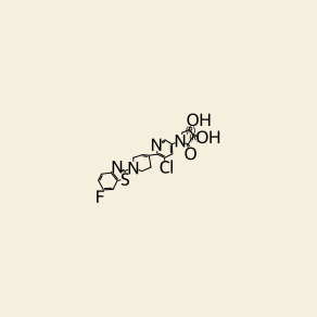 O=C1[C@H](O)[C@H](O)CN1c1cnc(C2=CCN(c3nc4ccc(F)cc4s3)CC2)c(Cl)c1